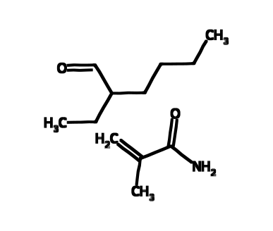 C=C(C)C(N)=O.CCCCC(C=O)CC